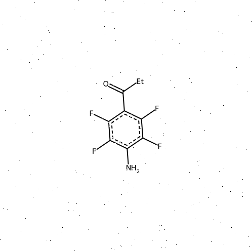 CCC(=O)c1c(F)c(F)c(N)c(F)c1F